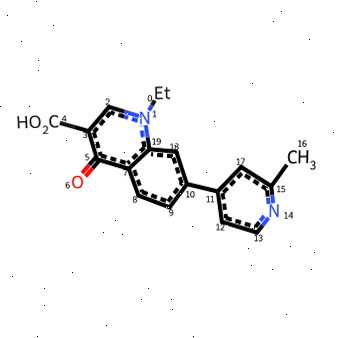 CCn1cc(C(=O)O)c(=O)c2ccc(-c3ccnc(C)c3)cc21